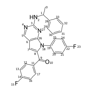 CC(Nc1ncc2cc(C(=O)c3ccc(F)cc3)n(-c3ccc(F)cc3)c2n1)c1ccccc1